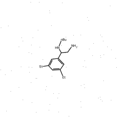 CCCCNC(CN)c1cc(CC)cc(CC)c1